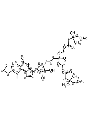 CC(=O)OCC(C)(C)CC(=O)OCOP(=O)(COC[C@H]1O[C@@H](n2ccc3c(NC4CCCC4)c(C#N)c(Cl)nc32)[C@H](O)[C@@H]1O)OCOC(=O)CC(C)(C)COC(C)=O